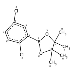 CC1(C)OB(c2cc(Cl)ccc2Cl)OC1(C)C